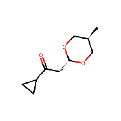 C[C@H]1CO[C@H](CC(=O)C2CC2)OC1